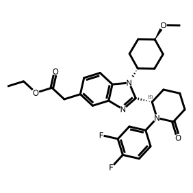 CCOC(=O)Cc1ccc2c(c1)nc([C@@H]1CCCC(=O)N1c1ccc(F)c(F)c1)n2[C@H]1CC[C@H](OC)CC1